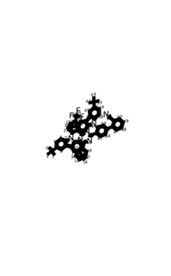 CC(C)(C)c1ccc2c(c1)c1cc(C(C)(C)C)ccc1n2-c1ccc(C(F)(F)F)cc1-c1nc(-c2ccccc2)nc(-c2ccc(-c3ccccc3C#N)cc2-n2c3ccc(C(C)(C)C)cc3c3cc(C(C)(C)C)ccc32)n1